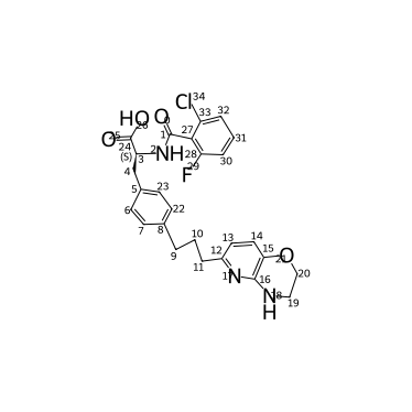 O=C(N[C@@H](Cc1ccc(CCCc2ccc3c(n2)NCCO3)cc1)C(=O)O)c1c(F)cccc1Cl